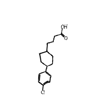 O=C(O)CCCC1CCC(c2ccc(Cl)cc2)CC1